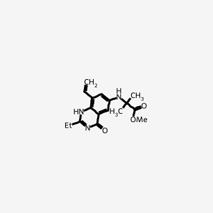 C=Cc1cc(NC(C)(C)C(=O)OC)cc2c(=O)nc(CC)[nH]c12